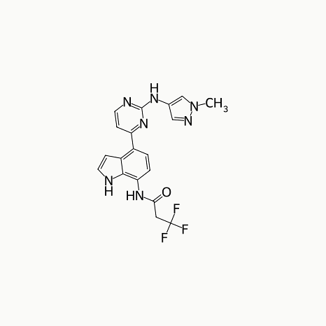 Cn1cc(Nc2nccc(-c3ccc(NC(=O)CC(F)(F)F)c4[nH]ccc34)n2)cn1